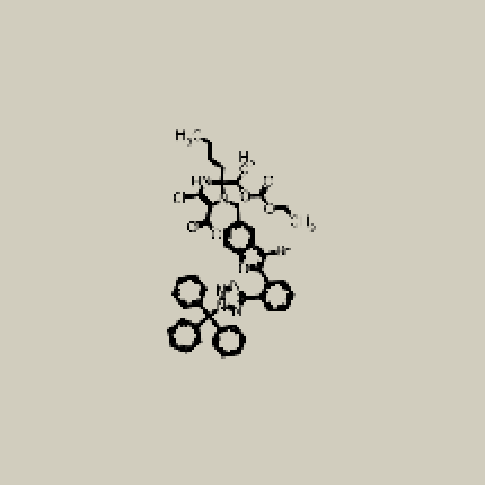 CCCCC1(C(C)OC(=O)OCC)NC(Cl)=C(C(=O)O)N1Cc1ccc2oc(-c3ccccc3-c3nnn(C(c4ccccc4)(c4ccccc4)c4ccccc4)n3)c(Br)c2c1